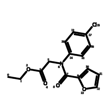 CCOC(=O)CN(C(=O)c1ccco1)c1ccc(Cl)cc1